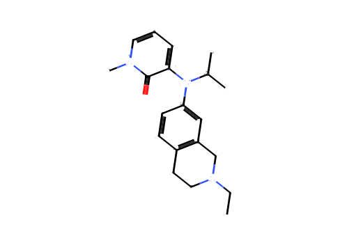 CCN1CCc2ccc(N(c3cccn(C)c3=O)C(C)C)cc2C1